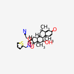 C[C@H]1C[C@@H]2C([C@@H](O)C[C@@]3(C)C2C[C@H]2CN(Cc4cccs4)O[C@]23C(=O)OCC#N)[C@@]2(C)C=CC(=O)C=C12